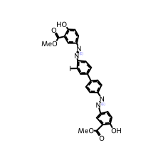 COC(=O)c1cc(/N=N/c2ccc(-c3ccc(/N=N/c4ccc(O)c(C(=O)OC)c4)c(I)c3)cc2)ccc1O